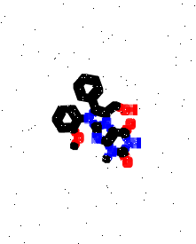 COc1ccccc1-n1c(-c2ccccc2)c(CO)n2c3c(=O)[nH]c(=O)n(C)c3nc12